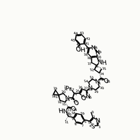 Cc1ncsc1-c1ccc([C@H](C)NC(=O)[C@@H]2CC3(CC3)CN2C(=O)C(c2cc(N3CCN(C(=O)[C@H]4C[C@@]5(Cc6cc(-c7ccccc7O)nnc6N5)C4)CC3)no2)C(C)C)cc1